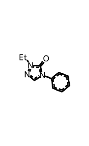 CCn1ncn(-c2ccccc2)c1=O